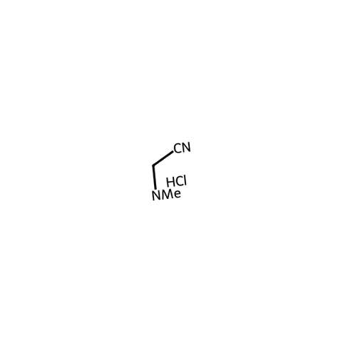 CNCC#N.Cl